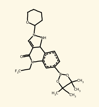 CC1(C)OB(c2ccc3c(c2)N(CC(F)(F)F)C(=O)C2=CN(C4CCCCO4)NC23)OC1(C)C